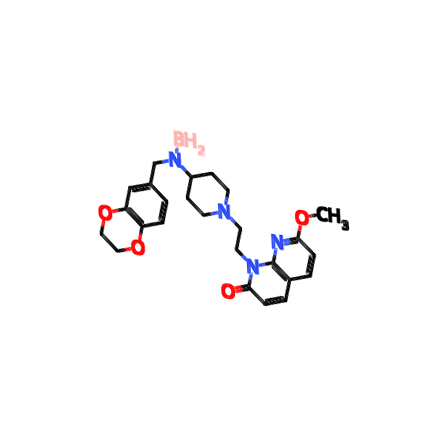 BN(Cc1ccc2c(c1)OCCO2)C1CCN(CCn2c(=O)ccc3ccc(OC)nc32)CC1